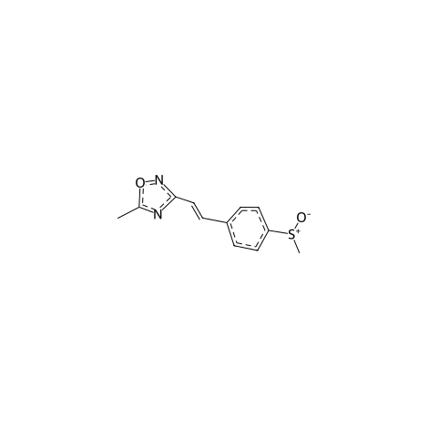 Cc1nc(C=Cc2ccc([S+](C)[O-])cc2)no1